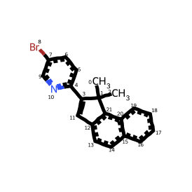 CC1(C)C(c2ccc(Br)cn2)=Cc2ccc3ccccc3c21